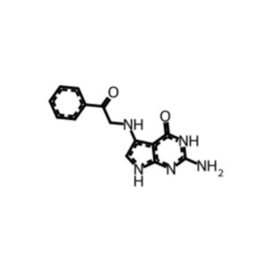 Nc1nc2[nH]cc(NCC(=O)c3ccccc3)c2c(=O)[nH]1